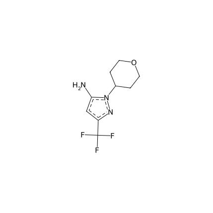 Nc1cc(C(F)(F)F)nn1C1CCOCC1